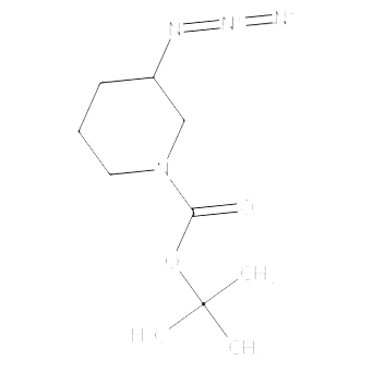 CC(C)(C)OC(=O)N1CCCC(N=[N+]=[N-])C1